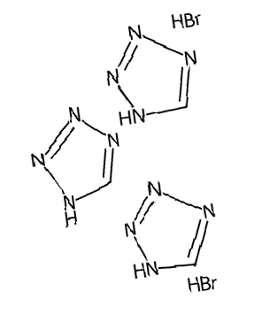 Br.Br.c1nnn[nH]1.c1nnn[nH]1.c1nnn[nH]1